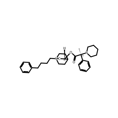 C[C@@](C(=O)O[C@H]1C[N+]2(CCCCc3ccccc3)CCC1CC2)(c1ccccc1)N1CCCCC1